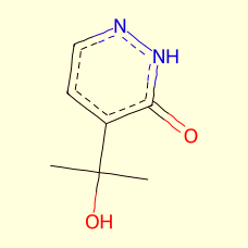 CC(C)(O)c1ccn[nH]c1=O